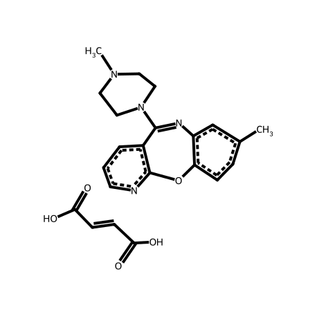 Cc1ccc2c(c1)N=C(N1CCN(C)CC1)c1cccnc1O2.O=C(O)C=CC(=O)O